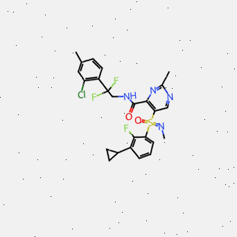 CN=S(=O)(c1cnc(C)nc1C(=O)NCC(F)(F)c1ccc(C)cc1Cl)c1cccc(C2CC2)c1F